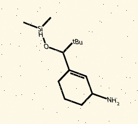 C[SiH](C)OC(C1=CC(N)CCC1)C(C)(C)C